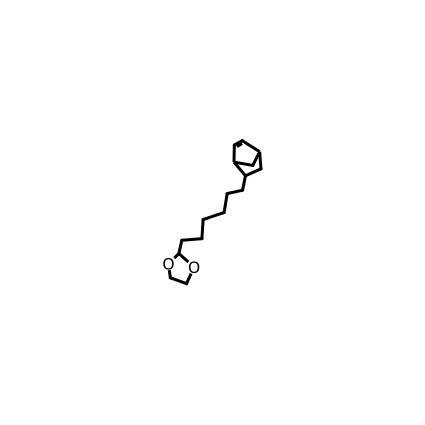 C1=CC2CC1CC2CCCCCCC1OCCO1